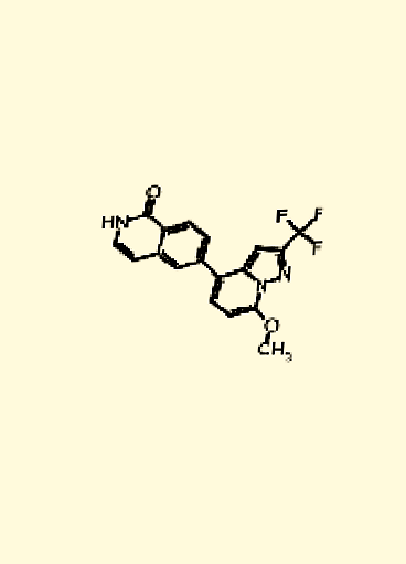 COc1ccc(-c2ccc3c(=O)[nH]ccc3c2)c2cc(C(F)(F)F)nn12